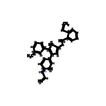 C=Cc1ccccc1NCc1nc(-c2cc/c(=N/C=N)[nH]c2)c(-c2cccc(C)n2)[nH]1